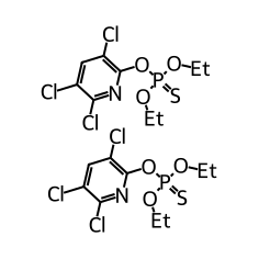 CCOP(=S)(OCC)Oc1nc(Cl)c(Cl)cc1Cl.CCOP(=S)(OCC)Oc1nc(Cl)c(Cl)cc1Cl